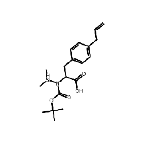 C=CCc1ccc(CC(C(=O)O)N(C(=O)OC(C)(C)C)[SiH](C)C)cc1